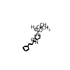 CC(C)(C)OC(=O)N1CCc2nc(/C=C/c3ccccc3)oc2C1